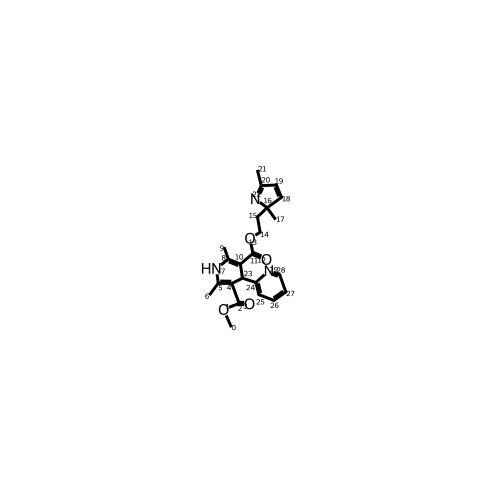 COC(=O)C1=C(C)NC(C)=C(C(=O)OCCC2(C)C=CC(C)=N2)C1c1ccccn1